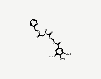 COc1cc(C(=O)OCOC(=O)N(CC(=O)OCc2ccccc2)C(C)(C)C)cc(OC)c1OC